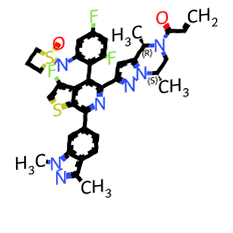 C=CC(=O)N1C[C@H](C)n2nc(-c3nc(-c4ccc5c(C)nn(C)c5c4)c4scc(F)c4c3-c3c(F)cc(F)cc3N=S3(=O)CCC3)cc2[C@H]1C